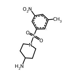 Cc1[c]c(S(=O)(=O)N2CCC(N)CC2)cc([N+](=O)[O-])c1